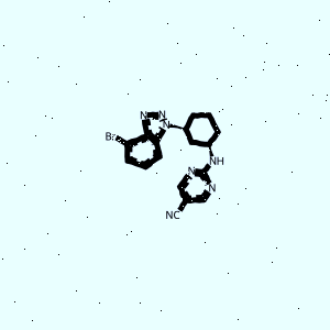 N#Cc1cnc(N[C@@H]2CCC[C@H](n3nnc4c(Br)cccc43)C2)nc1